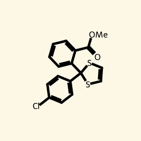 COC(=O)c1ccccc1C1(c2ccc(Cl)cc2)SC=CS1